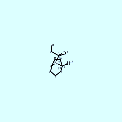 CCC(=O)N1C2CCC[C@H]1CC2